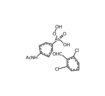 CC(=O)Nc1ccc([As](=O)(O)OO)cc1.O=Cc1c(Cl)cccc1Cl